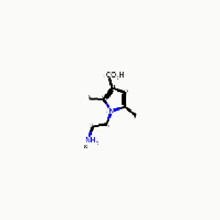 Cc1cc(C(=O)O)c(C)n1CCN